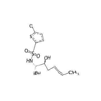 CC=CC[C@H](O)[C@@H](NS(=O)(=O)c1ccc(Cl)s1)[C@@H](C)CC